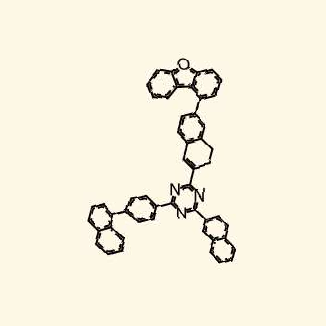 C1=C(c2nc(-c3ccc(-c4cccc5ccccc45)cc3)nc(-c3ccc4ccccc4c3)n2)CCc2cc(-c3cccc4oc5ccccc5c34)ccc21